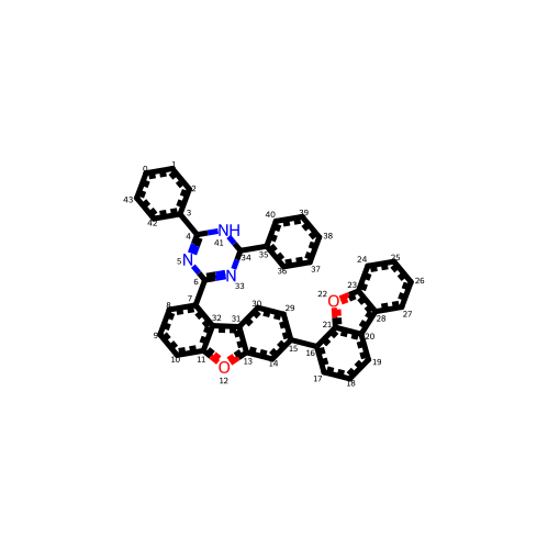 c1ccc(C2=NC(c3cccc4oc5cc(-c6cccc7c6oc6ccccc67)ccc5c34)=NC(c3ccccc3)N2)cc1